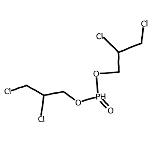 O=[PH](OCC(Cl)CCl)OCC(Cl)CCl